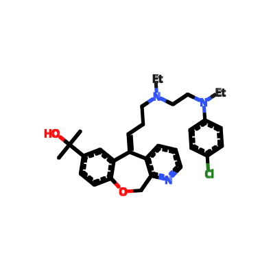 CCN(CCC=C1c2cc(C(C)(C)O)ccc2OCc2ncccc21)CCN(CC)c1ccc(Cl)cc1